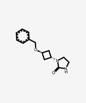 O=C1NCCN1[C@H]1C[C@H](OCc2ccccc2)C1